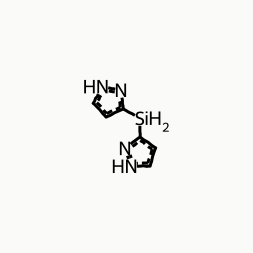 c1cc([SiH2]c2cc[nH]n2)n[nH]1